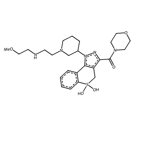 COCCNCCN1CCCC(n2nc(C(=O)N3CCOCC3)c3c2-c2ccccc2S(O)(O)C3)C1